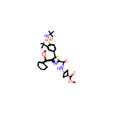 COC(=O)[C@H]1C[C@H](NC(=O)c2nc(C(OC)C3CCCCC3)c(-c3ccc(S(=O)(=O)NC(C)(C)C)c(C(C)(C)C)c3)s2)C1